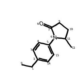 CCc1ccc(N2C(=O)CCC2C)cc1